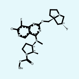 C[C@@H]1[C@H](N(C)c2nc(OC[C@@]34CCCN3C[C@H](F)C4)nc3c(F)c(Cl)ncc23)CCN1C(=O)OC(C)(C)C